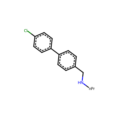 CCCNCc1ccc(-c2ccc(Cl)cc2)cc1